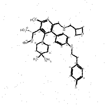 Cc1nc(CNCC2COC2)c(-c2ccc(OCCc3ccc(F)cc3)cc2)c(N2CCC(C)(C)CC2)c1[C@H](OC(C)(C)C)C(=O)O